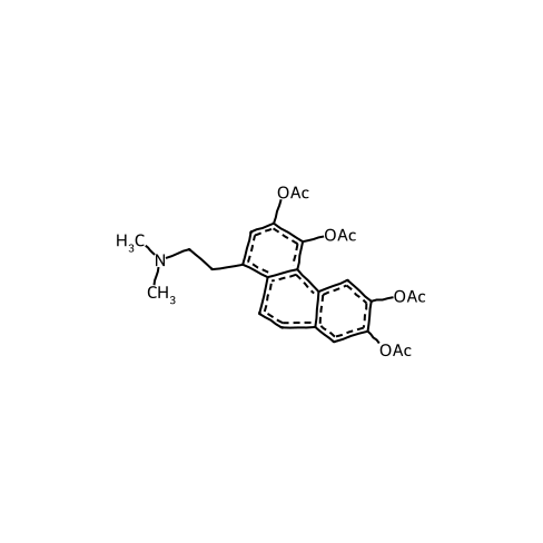 CC(=O)Oc1cc2ccc3c(CCN(C)C)cc(OC(C)=O)c(OC(C)=O)c3c2cc1OC(C)=O